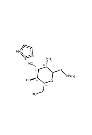 CCCCCOC1O[C@H](CO)[C@@H](O)[C@H](O)[C@@H]1N.c1c[nH]nn1